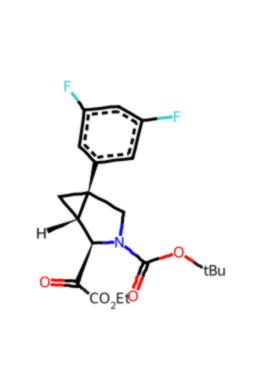 CCOC(=O)C(=O)[C@H]1[C@@H]2C[C@]2(c2cc(F)cc(F)c2)CN1C(=O)OC(C)(C)C